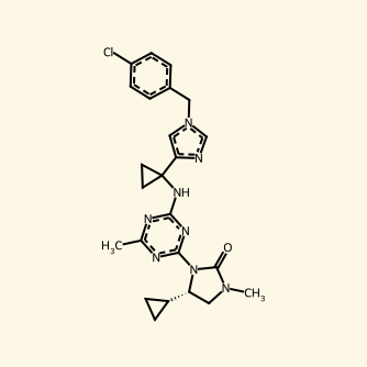 Cc1nc(NC2(c3cn(Cc4ccc(Cl)cc4)cn3)CC2)nc(N2C(=O)N(C)C[C@@H]2C2CC2)n1